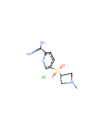 CN1CC(S(=O)(=O)c2ccc(C(=N)N)nc2)C1.Cl